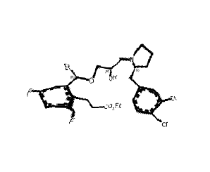 CCOC(=O)CCc1c(F)cc(F)cc1[C@@H](CC)OC[C@H](O)CN1CCC[C@H]1Cc1ccc(Cl)c(CC)c1